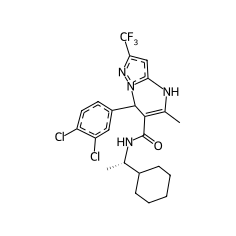 CC1=C(C(=O)N[C@@H](C)C2CCCCC2)C(c2ccc(Cl)c(Cl)c2)n2nc(C(F)(F)F)cc2N1